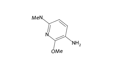 CNc1ccc(N)c(OC)n1